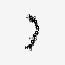 N#Cc1ccc(O[C@H]2CC[C@H](NC(=O)c3ccn([C@H]4CC[C@H](CN5CCC6(CC5)CN(c5ccc7c(c5)C(=O)N(C5CCC(=O)NC5=O)C7=O)C6)CC4)n3)CC2)cc1Cl